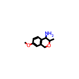 COc1ccc2c(c1)COC(C)C2N